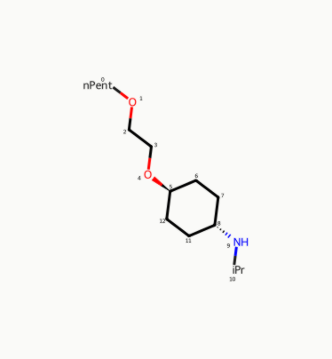 CCCCCOCCO[C@H]1CC[C@H](NC(C)C)CC1